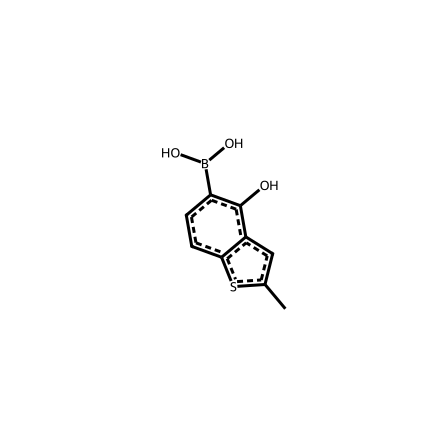 Cc1cc2c(O)c(B(O)O)ccc2s1